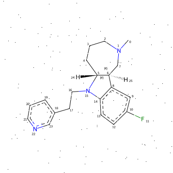 CN1CCC[C@@H]2[C@@H](C1)c1cc(F)ccc1N2CCc1cccnc1